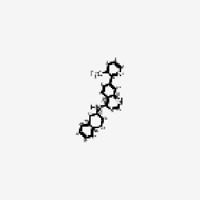 FC(F)(F)c1cccnc1-c1ccc2c(NC3CCc4ccccc4C3)ncnc2c1